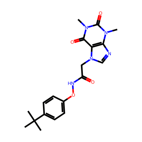 Cn1c(=O)c2c(ncn2CC(=O)NOc2ccc(C(C)(C)C)cc2)n(C)c1=O